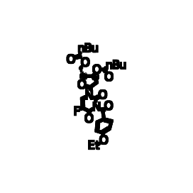 CCCCC(=O)OC[C@H]1O[C@@H](n2cc(F)c(=O)n(C(=O)c3ccc(OCC)cc3)c2=O)C[C@@H]1OC(=O)CCCC